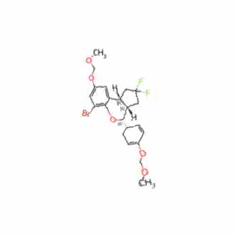 COCOC1=CCC([C@@H]2Oc3c(Br)cc(OCOC)cc3[C@@H]3CC(F)(F)C[C@@H]32)C=C1